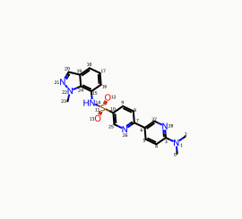 CN(C)c1ccc(-c2ccc(S(=O)(=O)Nc3cccc4cnn(C)c34)cn2)cn1